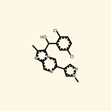 Cc1nc2cnc(-c3cnn(C)c3)cn2c1C(O)c1cc(Cl)ccc1Cl